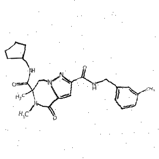 Cc1cccc(CNC(=O)c2cc3n(n2)CC(C)(C(=O)NC2CCCC2)N(C)C3=O)c1